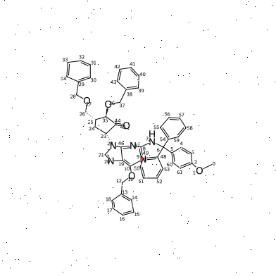 COc1ccc(C(Nc2nc(OCc3ccccc3)c3ncn([C@@H]4C[C@H](COCc5ccccc5)[C@@H](OCc5ccccc5)C4=O)c3n2)(c2ccccc2)c2ccccc2)cc1